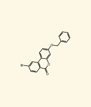 O=c1oc2cc(OCc3ccccc3)ccc2c2cc(Br)ccc12